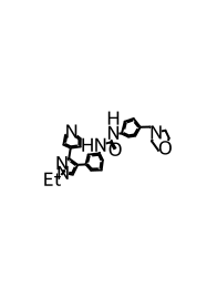 CCn1cc(-c2cccc(NC(=O)Nc3ccc(CN4CCOCC4)cc3)c2)c(-c2ccncc2)n1